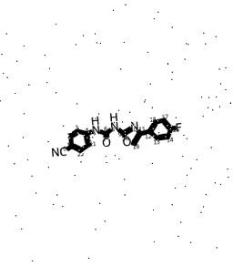 N#Cc1ccc(NC(=O)Nc2nc(-c3ccc(F)cc3)co2)cc1